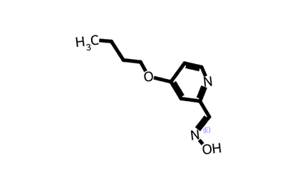 CCCCOc1ccnc(/C=N/O)c1